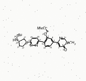 COCOc1cc(-c2cc(=O)n(C)cn2)ccc1-c1ccc(N2CC[C@H](NC(C)(C)C)C2)nn1